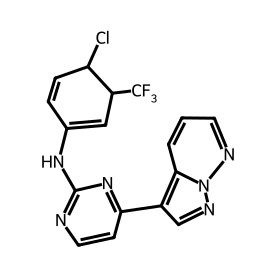 FC(F)(F)C1C=C(Nc2nccc(-c3cnn4ncccc34)n2)C=CC1Cl